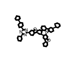 c1ccc(-c2ccc(-c3nc(-c4ccccc4)nc(-c4ccc5c(c4)oc4ccc(-c6cc7c(cc6-n6c8ccccc8c8cc(-c9ccccc9)ccc86)oc6ccccc67)cc45)n3)cc2)cc1